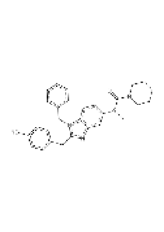 CN(C(=O)N1CCCCC1)c1ccc2c(c1)nc(Cc1ccc(C#N)cc1)n2Cc1ccccc1